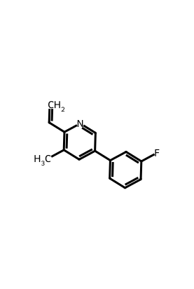 C=Cc1ncc(-c2cccc(F)c2)cc1C